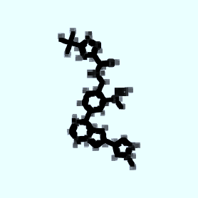 COc1cc(-c2ncnn3cc(-c4cnn(C)c4)cc23)ccc1CNC(=O)c1nc(C(C)(C)C)no1.Cl